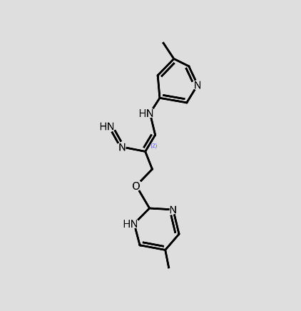 CC1=CNC(OC/C(=C/Nc2cncc(C)c2)N=N)N=C1